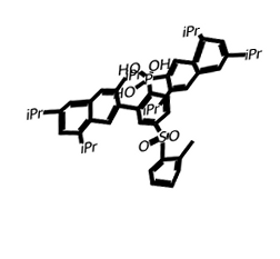 Cc1ccccc1S(=O)(=O)c1ccc(P(O)(O)(O)c2cc3c(C(C)C)cc(C(C)C)cc3cc2C(C)C)c(-c2cc3c(C(C)C)cc(C(C)C)cc3cc2C(C)C)c1